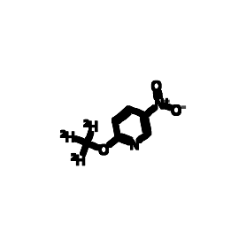 [2H]C([2H])([2H])Oc1ccc([N+](=O)[O-])cn1